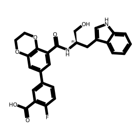 O=C(O)c1cc(-c2cc3c(c(C(=O)N[C@@H](CO)Cc4c[nH]c5ccccc45)c2)OCCO3)ccc1F